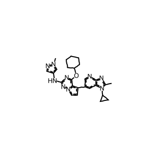 Cc1nc2ncc(-c3ccn4nc(Nc5cnn(C)c5)nc(OC5CCCCC5)c34)cc2n1C1CC1